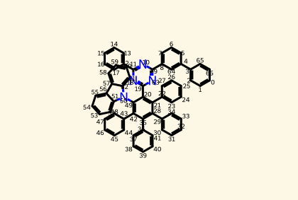 c1ccc(-c2cccc(-c3nc(-c4ccccc4)nc(-c4c(-c5ccccc5)c(-c5ccccc5)c(-c5ccccc5)c(-c5ccccc5)c4-n4c5ccccc5c5ccccc54)n3)c2)cc1